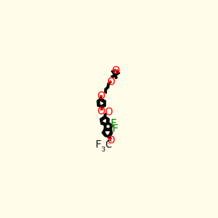 CC1(COCCCCOc2ccc(OC(=O)c3ccc4c(c3)C(F)(F)c3cc(OC(F)(F)F)ccc3-4)cc2)COC1